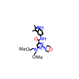 COCCN(CCOC)c1cc(C(=O)Nc2ccc3[nH]c(C)c(C)c3c2)nc(N2CCOCC2)n1